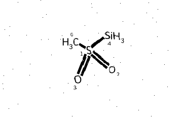 CS(=O)(=O)[SiH3]